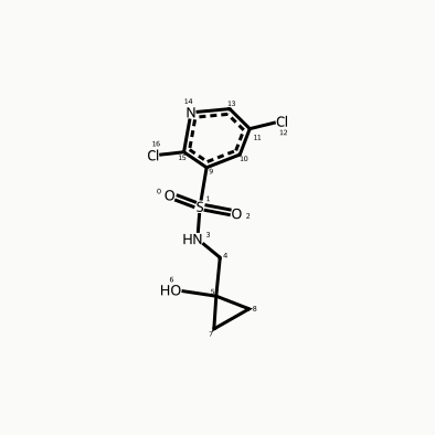 O=S(=O)(NCC1(O)CC1)c1cc(Cl)cnc1Cl